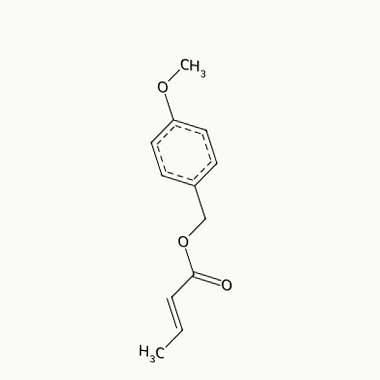 C/C=C/C(=O)OCc1ccc(OC)cc1